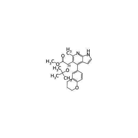 COC(=O)[C@@H](OC(C)(C)C)c1c(C)nc2[nH]ccc2c1-c1ccc2c(c1)CCCO2